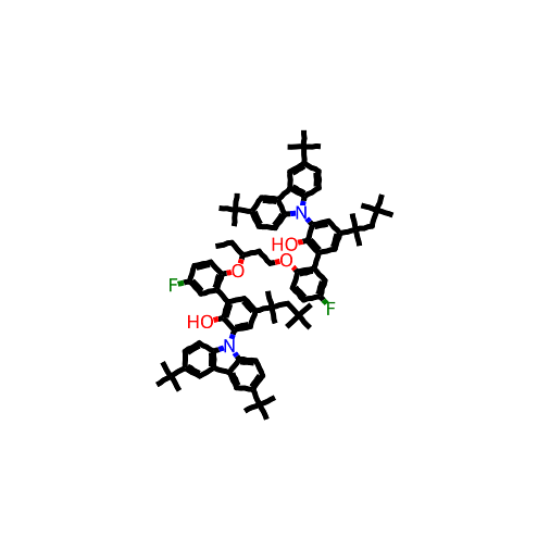 CCC(CCOc1ccc(F)cc1-c1cc(C(C)(C)CC(C)(C)C)cc(-n2c3ccc(C(C)(C)C)cc3c3cc(C(C)(C)C)ccc32)c1O)Oc1ccc(F)cc1-c1cc(C(C)(C)CC(C)(C)C)cc(-n2c3ccc(C(C)(C)C)cc3c3cc(C(C)(C)C)ccc32)c1O